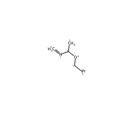 C=NC(C)OCC(C)C